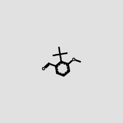 COc1cccc([C]=O)c1C(C)(C)C